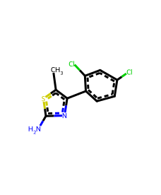 Cc1sc(N)nc1-c1ccc(Cl)cc1Cl